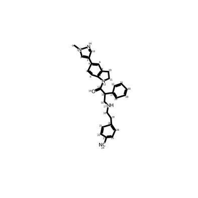 Cn1cc(-c2ccc3c(c2)CCN3C(=O)C(CNCCc2ccc(C#N)cc2)c2ccccc2)cn1